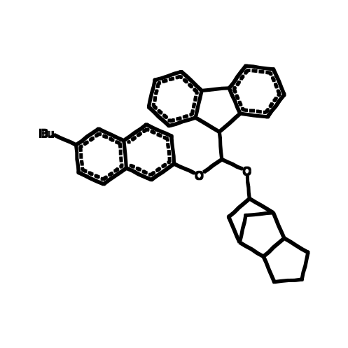 CCC(C)c1ccc2cc(OC(OC3CC4CC3C3CCCC43)C3c4ccccc4-c4ccccc43)ccc2c1